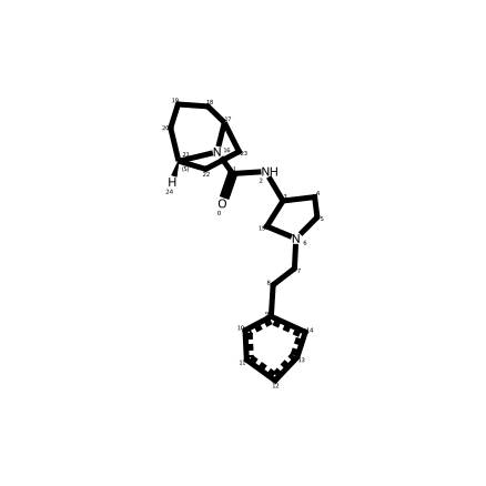 O=C(NC1CCN(CCc2ccccc2)C1)N1C2CCC[C@H]1CC2